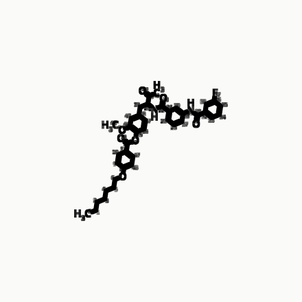 CCCCCCCOc1ccc(C(=O)Oc2ccc(CC(NC(=O)c3cccc(NC(=O)c4cccc(F)c4)c3)C(C)=O)cc2OC)cc1